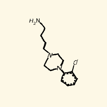 NCCCCN1CCN(c2ccccc2Cl)CC1